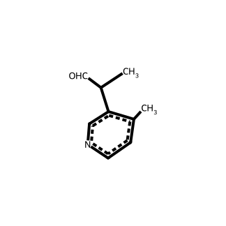 Cc1ccncc1C(C)C=O